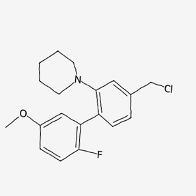 COc1ccc(F)c(-c2ccc(CCl)cc2N2CCCCC2)c1